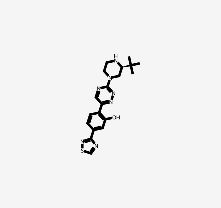 CC(C)(C)[C@H]1CN(c2ncc(-c3ccc(-c4ncsn4)cc3O)nn2)CCN1